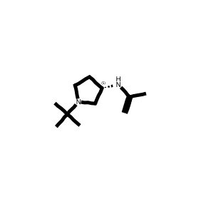 C=C(C)N[C@H]1CCN(C(C)(C)C)C1